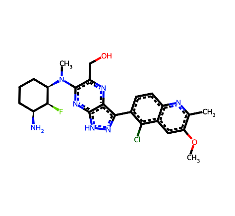 COc1cc2c(Cl)c(-c3n[nH]c4nc(N(C)[C@@H]5CCC[C@H](N)[C@@H]5F)c(CO)nc34)ccc2nc1C